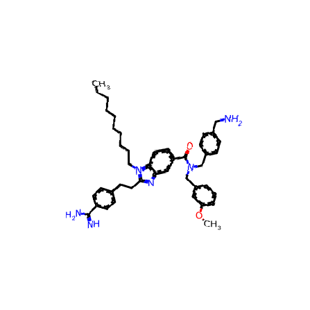 CCCCCCCCCCn1c(CCc2ccc(C(=N)N)cc2)nc2cc(C(=O)N(Cc3ccc(CN)cc3)Cc3cccc(OC)c3)ccc21